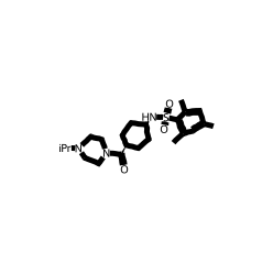 Cc1cc(C)c(S(=O)(=O)N[C@H]2CC[C@@H](C(=O)N3CCN(C(C)C)CC3)CC2)c(C)c1